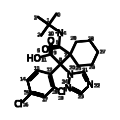 CC(C)(C)[N]C(=O)C1(C(C(=O)O)(c2ccc(Cl)cc2Cl)n2cncn2)CCCCC1